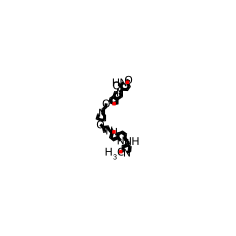 Cc1cc(Nc2ccc3nc(N4CC(OC5CCN(CCOc6ccc7c(c6)CN(C6CCC(=O)NC6=O)C7)CC5)C4)ccc3n2)ccn1